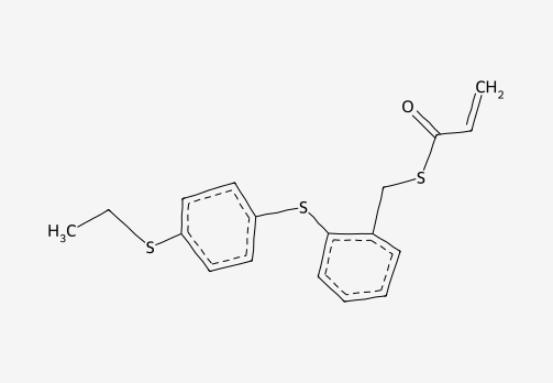 C=CC(=O)SCc1ccccc1Sc1ccc(SCC)cc1